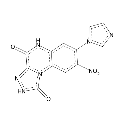 O=c1[nH]c2cc(-n3ccnc3)c([N+](=O)[O-])cc2n2c(=O)[nH]nc12